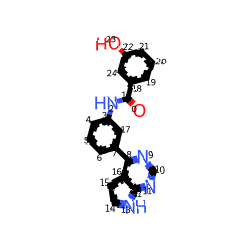 O=C(Nc1cccc(-c2ncnc3[nH]ccc23)c1)c1cccc(O)c1